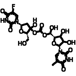 Cc1cn([C@@H]2O[C@H](C(O)OC(=O)OC3(O)C[C@@H](n4cc(F)c(=O)[nH]c4=O)O[C@H]3CO)C(O)C2O)c(=O)[nH]c1=O